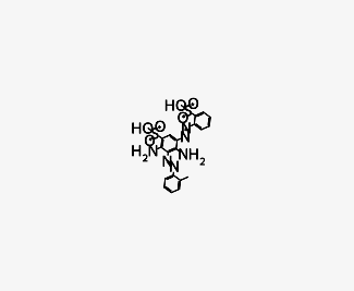 Cc1ccccc1/N=N/c1c(N)c(/N=N/c2ccccc2S(=O)(=O)O)cc(S(=O)(=O)O)c1N